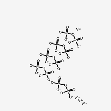 O=P([O-])([O-])OP(=O)([O-])[O-].O=P([O-])([O-])OP(=O)([O-])[O-].O=P([O-])([O-])OP(=O)([O-])[O-].O=P([O-])([O-])OP(=O)([O-])[O-].O=P([O-])([O-])OP(=O)([O-])[O-].[V+5].[V+5].[V+5].[V+5]